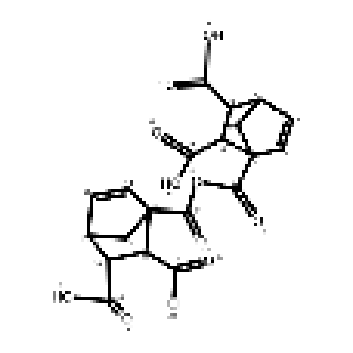 O=C(O)C1C2C=CC(C(=O)OC(=O)C34C=CC(C3)C(C(=O)O)C4C(=O)O)(C2)C1C(=O)O